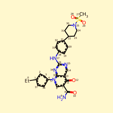 CCc1ccc(-n2cc(C(N)=O)c(=O)c3cnc(Nc4ccc(C5CCN(S(C)(=O)=O)CC5)cc4)nc32)cc1